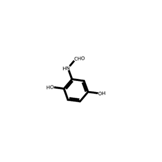 O=CNc1cc(O)ccc1O